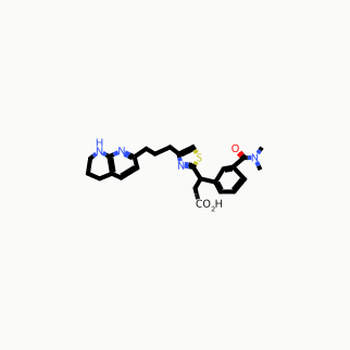 CN(C)C(=O)c1cccc(C(CC(=O)O)c2nc(CCCc3ccc4c(n3)NCCC4)cs2)c1